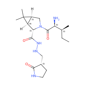 CC[C@H](C)[C@H](N)C(=O)N1C[C@H]2[C@@H]([C@H]1C(=O)NNC[C@@H]1CCNC1=O)C2(C)C